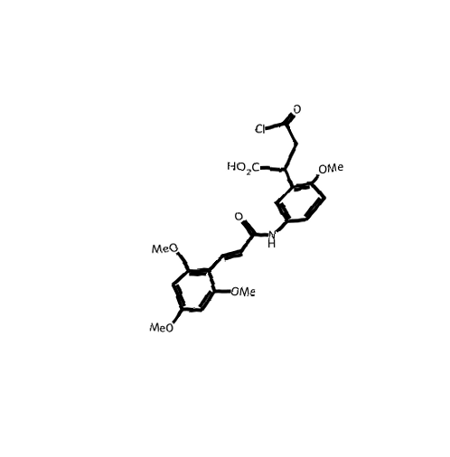 COc1cc(OC)c(C=CC(=O)Nc2ccc(OC)c(C(CC(=O)Cl)C(=O)O)c2)c(OC)c1